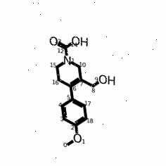 COc1ccc(C2=C(CO)CN(C(=O)O)CC2)cc1